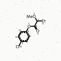 CCC(OC)C(=O)Oc1ccc(Cl)cc1